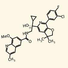 COc1cc(C(=O)NC[C@](O)(c2cc3c(c(-c4ccc(F)c(Cl)c4)n2)OCC3(C)C)C2CC2)cc2cc(C)cnc12